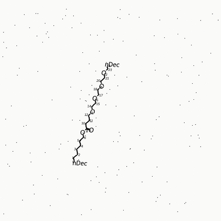 CCCCCCCCCCCCCCCCOC(=O)CCCOCCOCCOCCOCCCCCCCCCCC